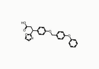 O=C(O)CC(c1ccc(OCc2ccc(Oc3ccccc3)cc2)cc1)c1ncco1